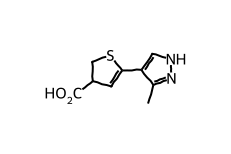 Cc1n[nH]cc1C1=CC(C(=O)O)CS1